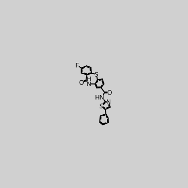 O=C(Nc1ncc(-c2ccccc2)s1)c1ccc2c(c1)NC(=O)c1cc(F)ccc1S2